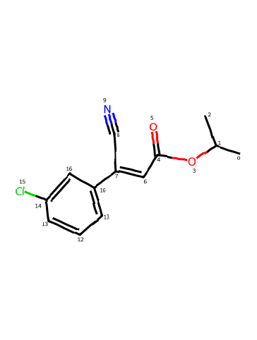 CC(C)OC(=O)C=C(C#N)c1cccc(Cl)c1